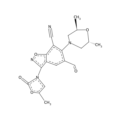 Cc1cn(-c2noc3c(C#N)c(N4C[C@@H](C)O[C@H](C)C4)c(C=O)cc23)c(=O)o1